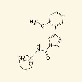 COc1ccccc1-c1cnn(C(=O)NC2CC3CCN(CC3)C2)c1